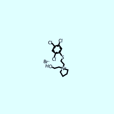 OCC[N+]1(CCSc2cc(Cl)c(Cl)cc2Cl)CCCC1.[Br-]